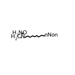 C=CN(CCCCCCCCCCCCCCCCCC)C(N)=O